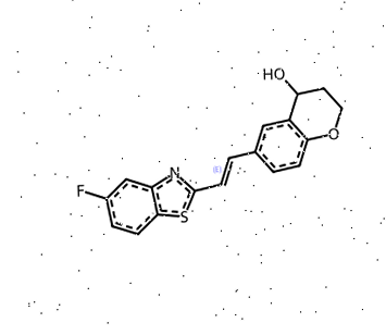 OC1CCOc2ccc(/C=C/c3nc4cc(F)ccc4s3)cc21